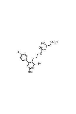 CC(C)c1nc(C(C)(C)C)cc(-c2ccc(F)cc2)c1CCCO[PH](=O)CC(O)CC(=O)O